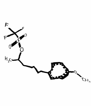 COc1ccc(CCCC(C)OS(=O)(=O)C(F)(F)F)cc1